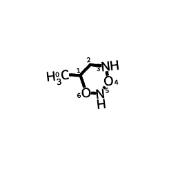 CC1CNONO1